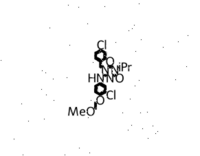 COCCOc1ccc(Nc2nc(=O)n(C(C)C)c(=O)n2Cc2ccc(Cl)cc2)cc1Cl